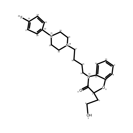 O=C1C(CCO)Oc2ccccc2N1CCCCN1CCN(c2ccc(F)cc2)CC1